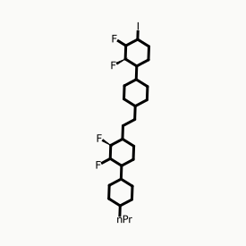 CCCC1CCC(C2CCC(CCC3CCC(C4CCC(I)C(F)[C@@H]4F)CC3)[C@H](F)C2F)CC1